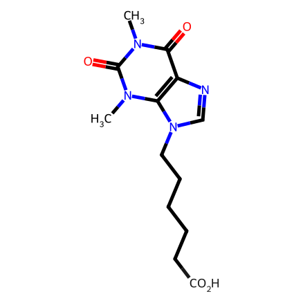 Cn1c(=O)c2ncn(CCCCCC(=O)O)c2n(C)c1=O